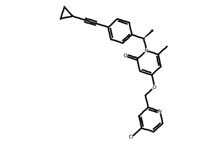 Cc1cc(OCc2cc(Cl)ccn2)cc(=O)n1[C@H](C)c1ccc(C#CC2CC2)cc1